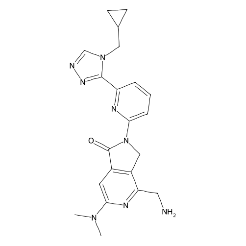 CN(C)c1cc2c(c(CN)n1)CN(c1cccc(-c3nncn3CC3CC3)n1)C2=O